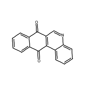 O=C1c2ccccc2C(=O)c2c1cnc1ccccc21